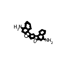 Nc1cc2oc3cc4oc5cc(N)c6ccccc6c5c4cc3c2c2ccccc12